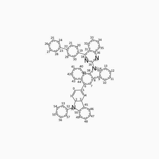 C1=CC2C(C=C1c1cc3c4ccccc4n(-c4nc(-c5ccc(-c6ccccc6)cc5)c5ccccc5n4)c3c3ccccc13)c1ccccc1N2c1ccccc1